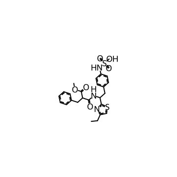 CCc1csc(C(Cc2ccc(NS(=O)(=O)O)cc2)NC(=O)C(Cc2ccccc2)C(=O)OC)n1